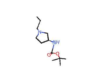 CCCN1CC[C@H](NC(=O)OC(C)(C)C)C1